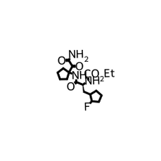 CCOC(=O)N[C@@H](CC1CCCC1F)C(=O)NC1(C(=O)C(N)=O)CCCC1